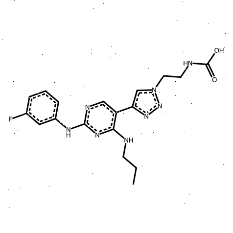 CCCNc1nc(Nc2cccc(F)c2)ncc1-c1cn(CCNC(=O)O)nn1